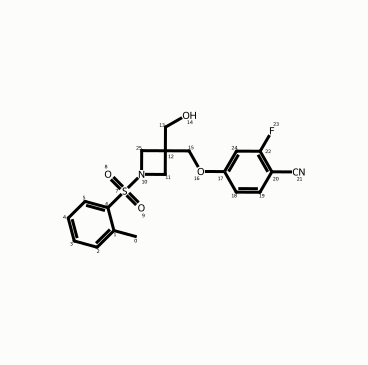 Cc1ccccc1S(=O)(=O)N1CC(CO)(COc2ccc(C#N)c(F)c2)C1